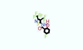 O=C(Nc1snc(C(F)(F)F)c1C(F)(F)F)c1cc(F)ccc1O